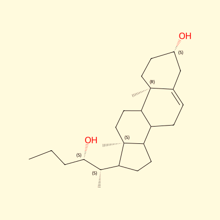 CCC[C@H](O)[C@@H](C)C1CCC2C3CC=C4C[C@@H](O)CC[C@]4(C)C3CC[C@@]21C